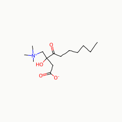 CCCCCCC(=O)C(O)(CC(=O)[O-])C[N+](C)(C)C